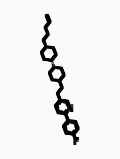 C=CCCC[C@H]1CC[C@H](C2CCC(CCc3ccc(-c4ccc(F)cc4)nc3)CC2)CC1